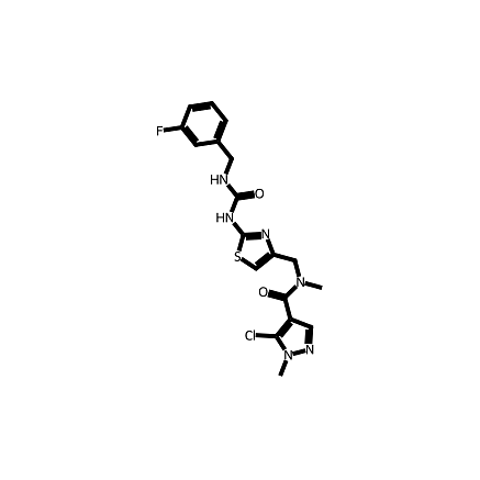 CN(Cc1csc(NC(=O)NCc2cccc(F)c2)n1)C(=O)c1cnn(C)c1Cl